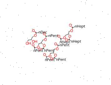 CCCCCC(=O)OCC(COC(=O)CCCCC)OC(=O)CCCCC.CCCCCC(=O)OCC(COC(=O)CCCCC)OC(=O)CCCCC.CCCCCCCC(=O)OCC(COC(=O)CCCCCCC)OC(=O)CCCCCCC.CCCCCCCCCCC(=O)OCC(O)CO